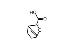 O=C(O)N1OC2C=CC1CC2